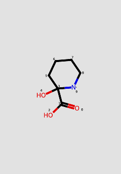 O=C(O)C1(O)CCCC[N]1